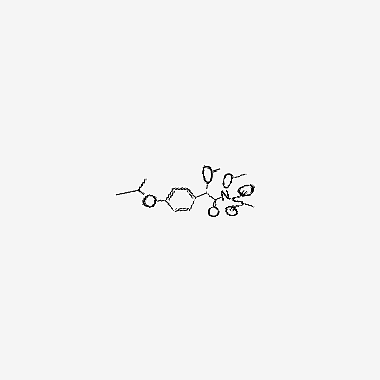 COC(C(=O)N(OC)S(C)(=O)=O)c1ccc(OC(C)C)cc1